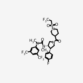 CN(C(=O)N(C)[C@@H]1CN(C(=O)C2CCN(S(=O)(=O)CC(F)(F)F)CC2)C[C@H]1c1ccc(F)cc1)c1cc(C(F)(F)F)cc(C(F)(F)F)c1